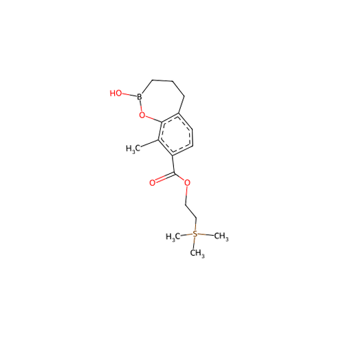 Cc1c(C(=O)OCCS(C)(C)C)ccc2c1OB(O)CCC2